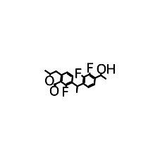 CC1Cc2ccc(C(C)c3ccc(C(C)O)c(F)c3F)c(F)c2C(=O)O1